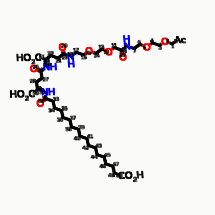 CC(=O)COCCOCCNC(=O)COCCOCCNC(=O)CC[C@H](NC(=O)CC[C@H](NC(=O)CCCCCCCCCCCCCCCCC(=O)O)C(=O)O)C(=O)O